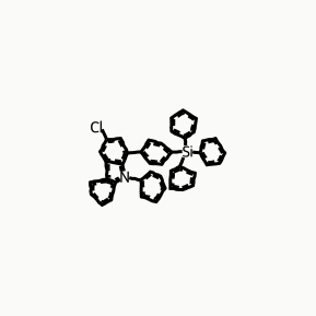 Clc1cc(-c2ccc([Si](c3ccccc3)(c3ccccc3)c3ccccc3)cc2)c2c(c1)c1ccccc1n2-c1ccccc1